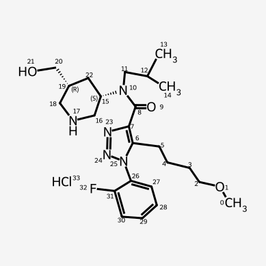 COCCCCc1c(C(=O)N(CC(C)C)[C@@H]2CNC[C@H](CO)C2)nnn1-c1ccccc1F.Cl